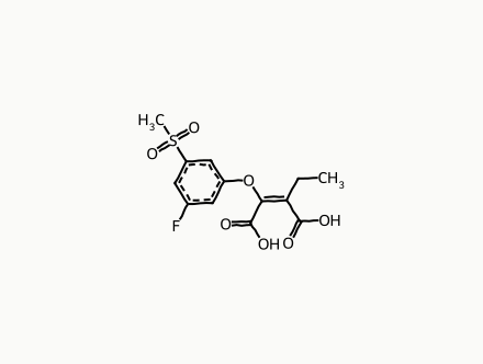 CC/C(C(=O)O)=C(\Oc1cc(F)cc(S(C)(=O)=O)c1)C(=O)O